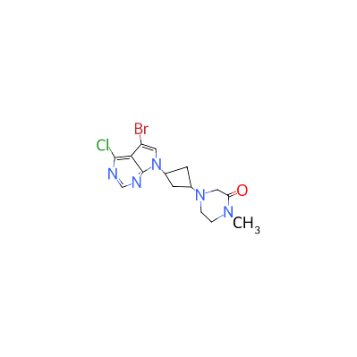 CN1CCN(C2CC(n3cc(Br)c4c(Cl)ncnc43)C2)CC1=O